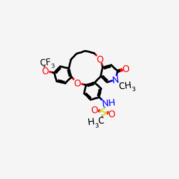 Cn1cc2c(cc1=O)OCCCCc1cc(OC(F)(F)F)ccc1Oc1ccc(NS(C)(=O)=O)cc1-2